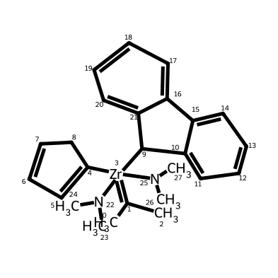 C[C](C)=[Zr]([C]1=CC=CC1)([CH]1c2ccccc2-c2ccccc21)([N](C)C)[N](C)C